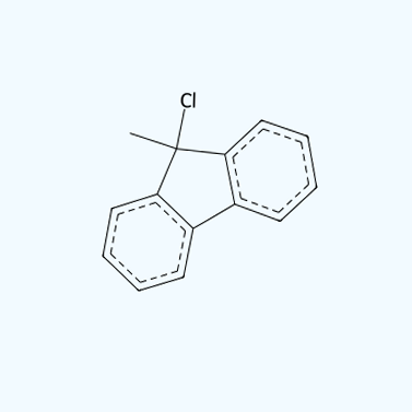 CC1(Cl)c2ccccc2-c2ccccc21